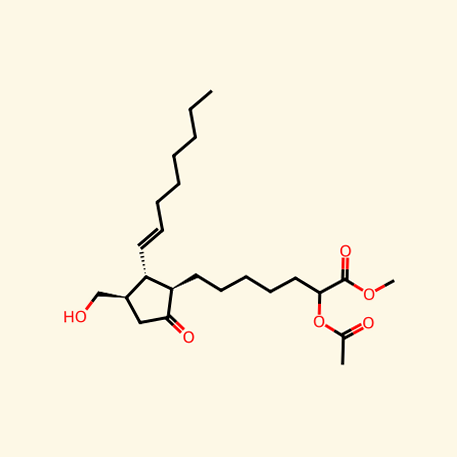 CCCCCCC=C[C@H]1[C@H](CO)CC(=O)[C@@H]1CCCCCC(OC(C)=O)C(=O)OC